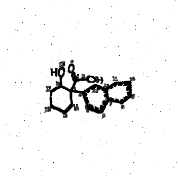 O=C(O)C1(c2ccc3ccccc3c2)CCCCC1O